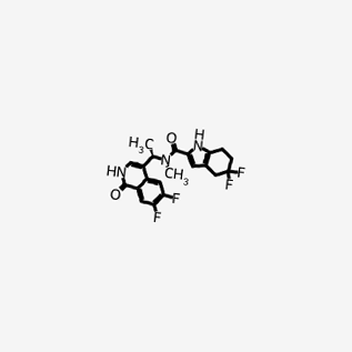 C[C@H](c1c[nH]c(=O)c2cc(F)c(F)cc12)N(C)C(=O)c1cc2c([nH]1)CCC(F)(F)C2